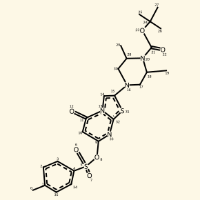 Cc1ccc(S(=O)(=O)Oc2cc(=O)n3cc(N4CC(C)N(C(=O)OC(C)(C)C)C(C)C4)sc3n2)cc1